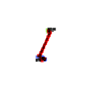 CCCN(OCCNC(=O)OCCOCCOCCOCCOCCOCCOCCOCCOCCOCCOCCC(=O)Oc1c(F)c(F)c(S(=O)(=O)O)c(F)c1F)C(=O)C1=Cc2c(cnn2C)N=C(N)C1